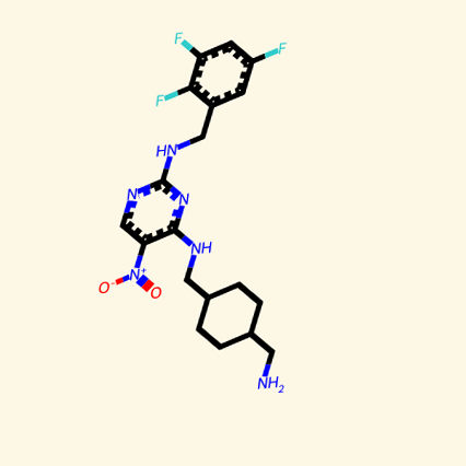 NCC1CCC(CNc2nc(NCc3cc(F)cc(F)c3F)ncc2[N+](=O)[O-])CC1